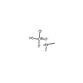 CNC.[O-][Cl+3]([O-])([O-])O